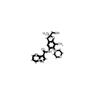 Cc1c2c(cc(NC(=O)c3cnn4cccnc34)c1N1CCOCC1)C[C@@](C)(CO)O2